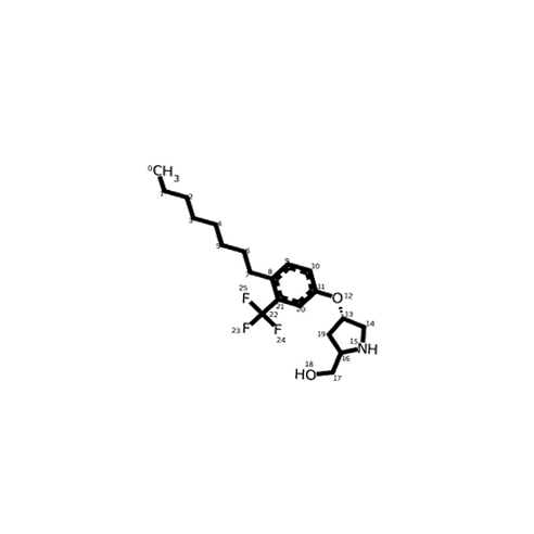 CCCCCCCCc1ccc(O[C@@H]2CNC(CO)C2)cc1C(F)(F)F